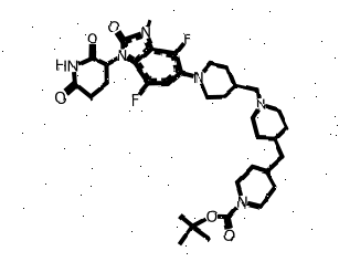 Cn1c(=O)n(C2CCC(=O)NC2=O)c2c(F)cc(N3CCC(CN4CCC(CC5CCN(C(=O)OC(C)(C)C)CC5)CC4)CC3)c(F)c21